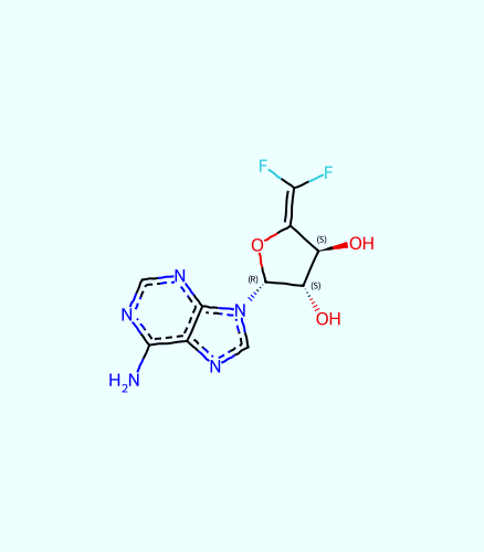 Nc1ncnc2c1ncn2[C@@H]1OC(=C(F)F)[C@@H](O)[C@@H]1O